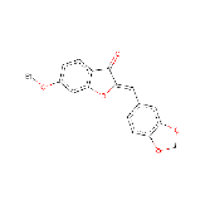 CCOc1ccc2c(c1)OC(=Cc1ccc3c(c1)OCO3)C2=O